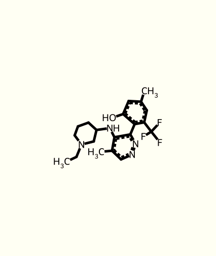 CCN1CCCC(Nc2c(C)cnnc2-c2c(O)cc(C)cc2C(F)(F)F)C1